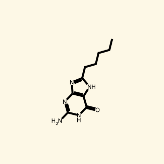 CCCCCc1nc2nc(N)[nH]c(=O)c2[nH]1